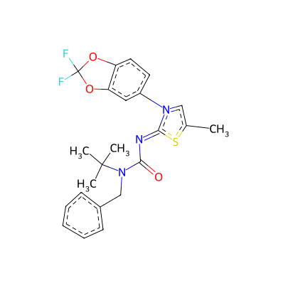 Cc1cn(-c2ccc3c(c2)OC(F)(F)O3)/c(=N/C(=O)N(Cc2ccccc2)C(C)(C)C)s1